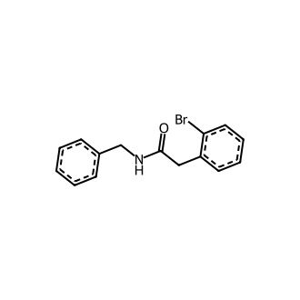 O=C(Cc1ccccc1Br)NCc1ccccc1